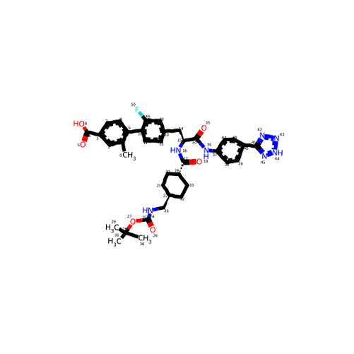 Cc1cc(C(=O)O)ccc1-c1ccc(C[C@H](NC(=O)[C@H]2CC[C@H](CNC(=O)OC(C)(C)C)CC2)C(=O)Nc2ccc(-c3nn[nH]n3)cc2)cc1F